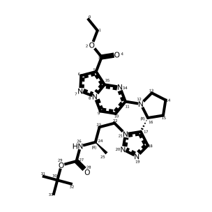 CCOC(=O)c1cnn2ccc(N3CCC[C@@H]3c3cnnn3CC[C@@H](C)NC(=O)OC(C)(C)C)nc12